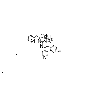 CC(Cc1ccccc1)Nc1nc(-c2ccncc2)c(-c2ccc(F)cc2)c(=O)n1C